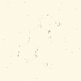 O=C1NCCN1Cc1cccc(Br)c1